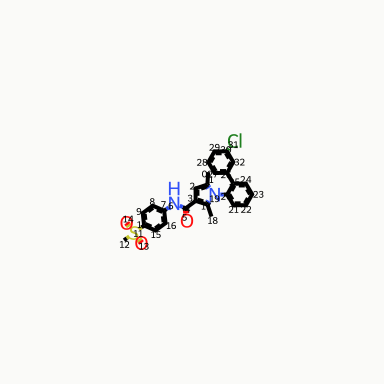 Cc1cc(C(=O)Nc2ccc(S(C)(=O)=O)cc2)c(C)n1-c1ccccc1-c1cccc(Cl)c1